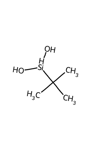 CC(C)(C)[SiH](O)O